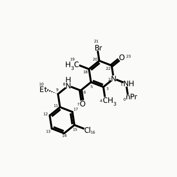 CCCNn1c(C)c(C(=O)N[C@@H](CC)c2cccc(Cl)c2)c(C)c(Br)c1=O